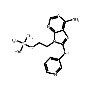 CC(C)(C)[Si](C)(C)OCCn1c(Nc2cccnc2)nc2c(N)ncnc21